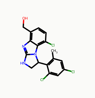 Cc1cc(Cl)cc(Cl)c1C1CNc2nc3c(CO)ccc(Cl)c3n21